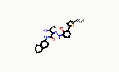 CC(=N)/C(=N/Nc1cccc(-c2ccc(C(=O)O)s2)c1O)C(=O)Nc1ccc2c(c1)CCCC2